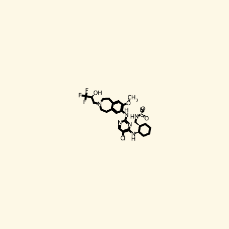 COc1cc2c(cc1Nc1ncc(Cl)c(N[C@@H]3CCCC[C@@H]3CN[SH](=O)=O)n1)CCN(C[C@H](O)C(F)(F)F)CC2